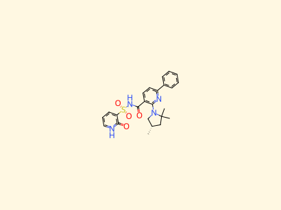 C[C@@H]1CN(c2nc(-c3ccccc3)ccc2C(=O)NS(=O)(=O)c2ccc[nH]c2=O)C(C)(C)C1